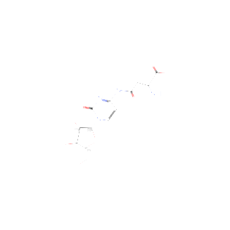 NC(CC(=O)Nc1ccn([C@@H]2O[C@H](CO)C(O)[C@H]2O)c(=O)n1)C(=O)O